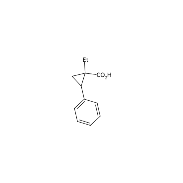 CCC1(C(=O)O)CC1c1ccccc1